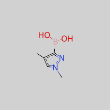 Cc1cn(C)nc1B(O)O